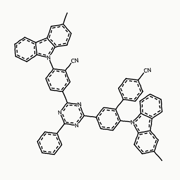 Cc1ccc2c(c1)c1ccccc1n2-c1ccc(-c2nc(-c3ccccc3)nc(-c3ccc(-n4c5ccccc5c5cc(C)ccc54)c(-c4ccc(C#N)cc4)c3)n2)cc1C#N